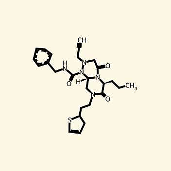 C#CCN1CC(=O)N2[C@@H](CCC)C(=O)N(CCC3CC=CS3)C[C@@H]2N1C(=O)NCc1ccccc1